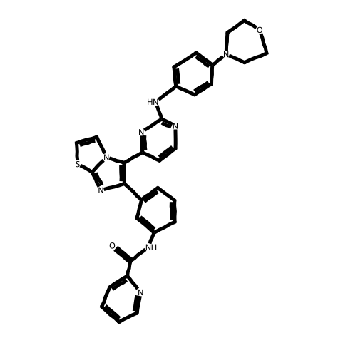 O=C(Nc1cccc(-c2nc3sccn3c2-c2ccnc(Nc3ccc(N4CCOCC4)cc3)n2)c1)c1ccccn1